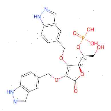 O=C1O[C@H]([C@H](CO)OP(=O)(O)O)C(OCc2ccc3[nH]ncc3c2)=C1OCc1ccc2[nH]ncc2c1